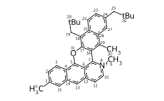 Cc1ccc2c3c4c([n+](C)ccc4cc2c1)-c1c(c(CC(C)(C)C)c2ccc(CC(C)(C)C)cc2c1C)O3